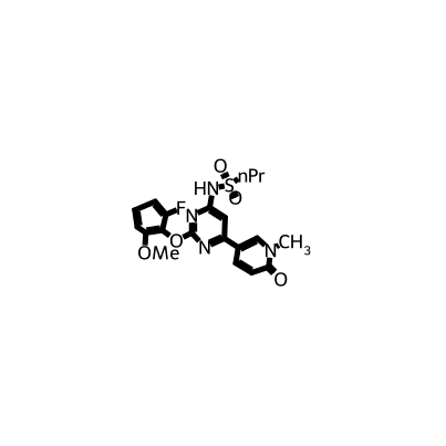 CCCS(=O)(=O)Nc1cc(-c2ccc(=O)n(C)c2)nc(Oc2c(F)cccc2OC)n1